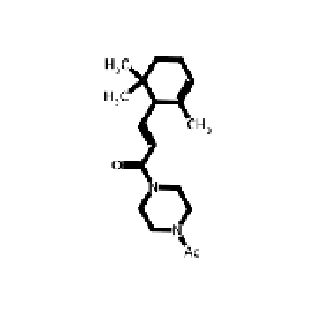 CC(=O)N1CCN(C(=O)/C=C/C2C(C)=CCCC2(C)C)CC1